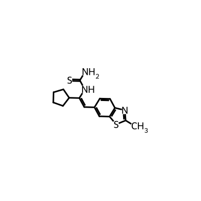 Cc1nc2ccc(/C=C(\NC(N)=S)C3CCCC3)cc2s1